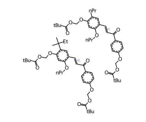 CCCOc1cc(OCOC(=O)C(C)(C)C)c(C(C)(C)CC)cc1/C=C/C(=O)c1ccc(OCOC(=O)C(C)(C)C)cc1.CCCOc1cc(OCOC(=O)C(C)(C)C)c(CCC)cc1/C=C/C(=O)c1ccc(OCOC(=O)C(C)(C)C)cc1